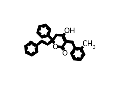 Cc1ccccc1CC1=C(O)CC(CCc2ccccc2)(c2ccccc2)OC1=O